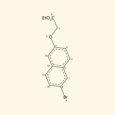 CCOC(=O)COc1ccc2cc(Br)ccc2c1